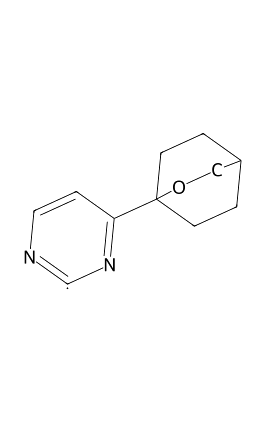 [c]1nccc(C23CCC(CC2)CO3)n1